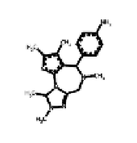 Cc1sc2c(c1C)C(c1ccc(N)cc1)N(C)CC1=NN(C)C(C)N12